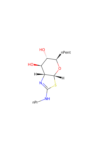 CCCCC[C@H]1O[C@@H]2SC(NCCC)=N[C@@H]2[C@@H](O)[C@@H]1O